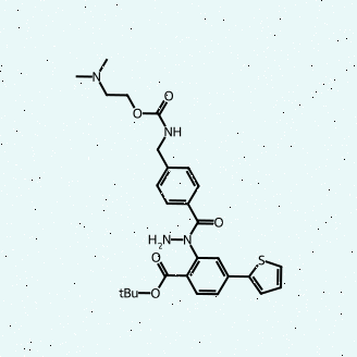 CN(C)CCOC(=O)NCc1ccc(C(=O)N(N)c2cc(-c3cccs3)ccc2C(=O)OC(C)(C)C)cc1